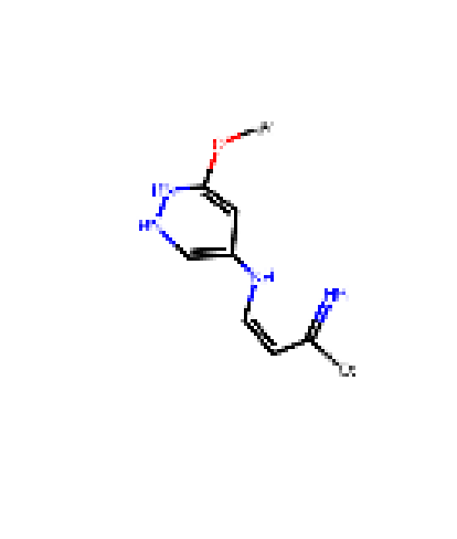 CCC(=N)/C=C\NC1=CNNC(OC(C)C)=C1